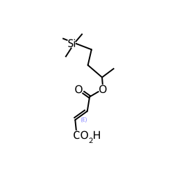 CC(CC[Si](C)(C)C)OC(=O)/C=C/C(=O)O